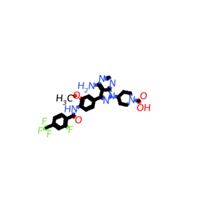 COc1cc(-c2nn(C3CCN(C(=O)O)CC3)c3ncnc(N)c23)ccc1NC(=O)c1ccc(C(F)(F)F)cc1F